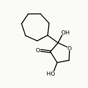 O=C1C(O)COC1(O)C1CCCCCC1